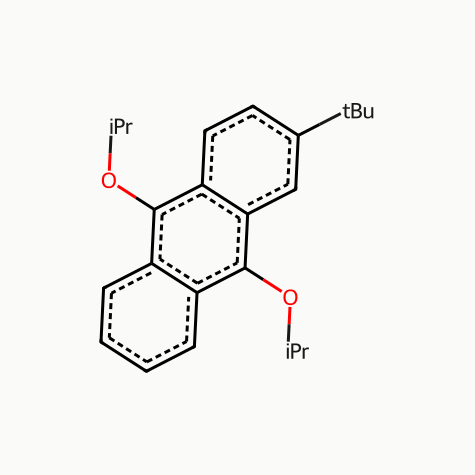 CC(C)Oc1c2ccccc2c(OC(C)C)c2cc(C(C)(C)C)ccc12